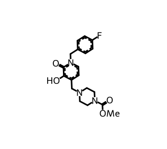 COC(=O)N1CCN(Cc2ccn(Cc3ccc(F)cc3)c(=O)c2O)CC1